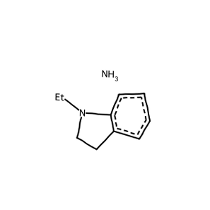 CCN1CCc2ccccc21.N